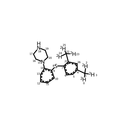 [2H]C([2H])([2H])c1ccc(Sc2ccccc2N2CCNCC2)c(C([2H])([2H])[2H])c1